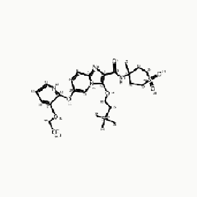 CC1(NC(=O)c2nc3ccc(Oc4ncccc4OCC(F)(F)F)cn3c2OCC[Si](C)(C)C)CCS(=O)(=O)CC1